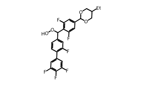 CCC1COC(c2cc(F)c(C(OO)c3ccc(-c4cc(F)c(F)c(F)c4)c(F)c3)c(F)c2)OC1